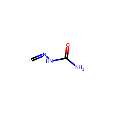 [C]=NNC(N)=O